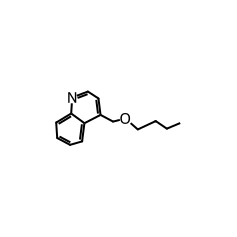 CCCCOCc1ccnc2ccccc12